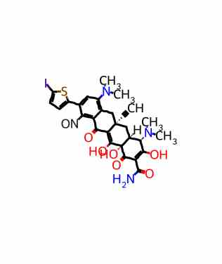 C#C[C@@]12Cc3c(N(C)C)cc(-c4ccc(I)s4)c(N=O)c3C(=O)C1=C(O)[C@]1(O)C(=O)C(C(N)=O)=C(O)[C@@H](N(C)C)[C@@H]1C2